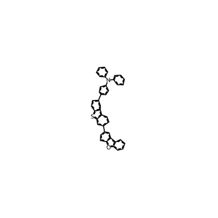 c1ccc(N(c2ccccc2)c2ccc(-c3ccc4sc5cc(-c6ccc7oc8ccccc8c7c6)ccc5c4c3)cc2)cc1